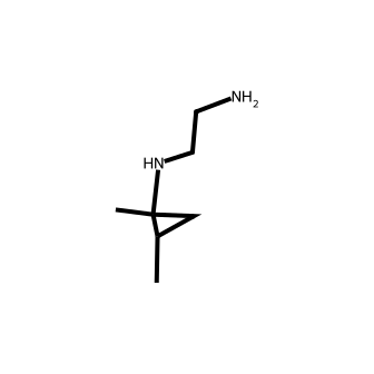 CC1CC1(C)NCCN